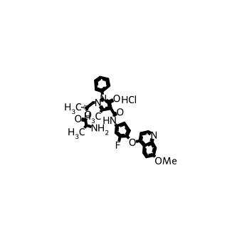 COc1ccc2c(Oc3ccc(NC(=O)c4c(C)n(C[C@@H](C)OC(=O)C(C)N)n(-c5ccccc5)c4=O)cc3F)ccnc2c1.Cl